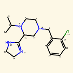 CC(C)N1CCN(Cc2ccccc2Cl)CC1C1=NCCN1